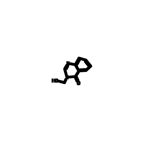 O=c1c2ccccc2ncn1CO